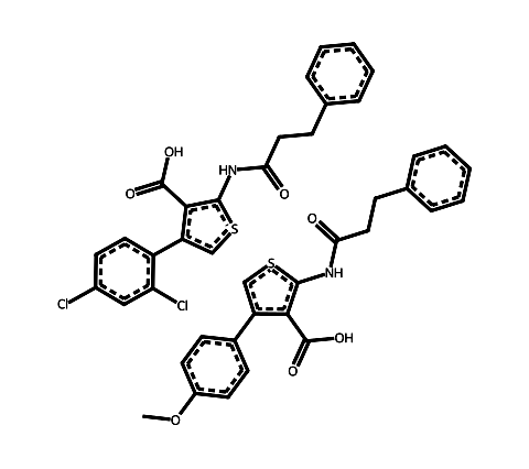 COc1ccc(-c2csc(NC(=O)CCc3ccccc3)c2C(=O)O)cc1.O=C(CCc1ccccc1)Nc1scc(-c2ccc(Cl)cc2Cl)c1C(=O)O